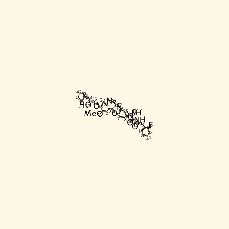 COc1cc2c(Oc3ccc(N(S)C(=O)NC(=O)Cc4ccccc4F)cc3F)ccnc2cc1OCC(O)CN1CCCC1